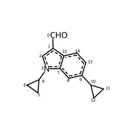 O=Cc1cn(C2CC2)c2cc(C3CC3)ccc12